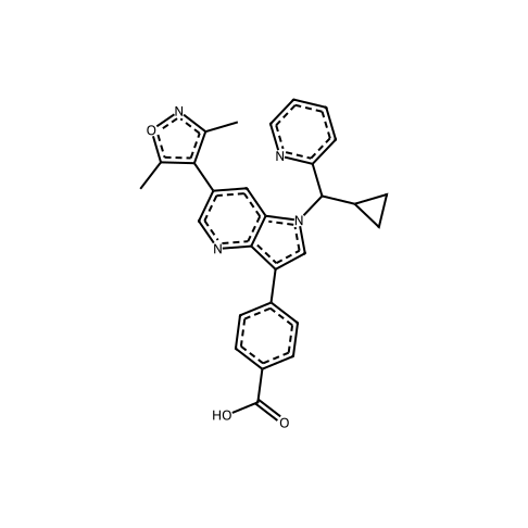 Cc1noc(C)c1-c1cnc2c(-c3ccc(C(=O)O)cc3)cn(C(c3ccccn3)C3CC3)c2c1